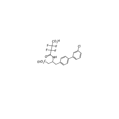 CCOC(=O)CC(Cc1ccc(-c2cccc(Cl)c2)cc1)NC(=O)C(F)(F)C(F)(F)C(=O)O